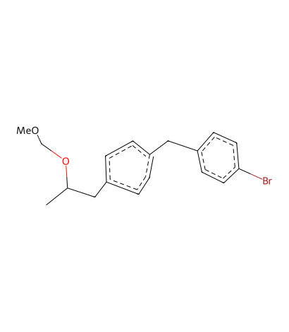 COCOC(C)Cc1ccc(Cc2ccc(Br)cc2)cc1